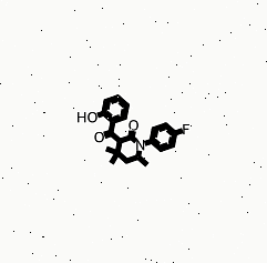 CC1CC(C)(C)C(C(=O)c2ccccc2O)C(=O)N1c1ccc(F)cc1